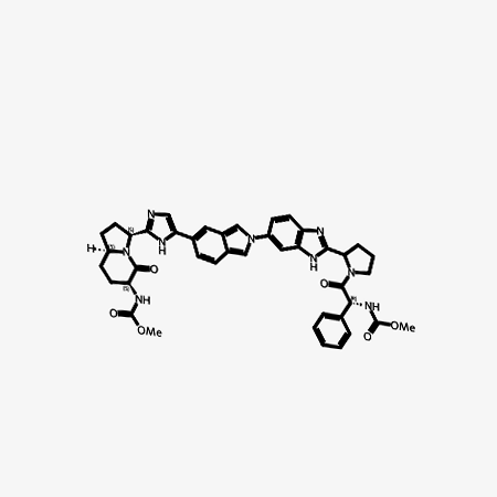 COC(=O)N[C@H]1CC[C@H]2CC[C@@H](c3ncc(-c4ccc5cn(-c6ccc7nc(C8CCCN8C(=O)[C@H](NC(=O)OC)c8ccccc8)[nH]c7c6)cc5c4)[nH]3)N2C1=O